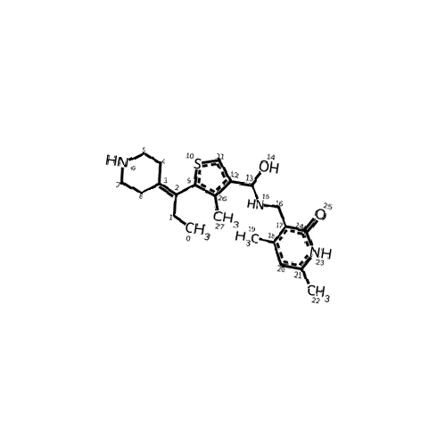 CCC(=C1CCNCC1)c1scc(C(O)NCc2c(C)cc(C)[nH]c2=O)c1C